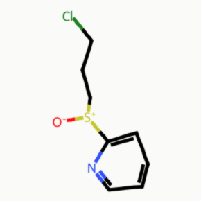 [O-][S+](CCCCl)c1ccccn1